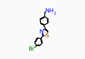 NCc1ccc(-c2csc(-c3ccc(Br)cc3)n2)cc1